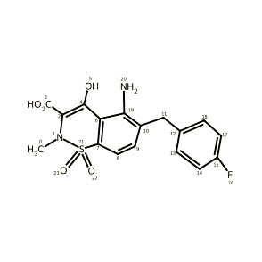 CN1C(C(=O)O)=C(O)c2c(ccc(Cc3ccc(F)cc3)c2N)S1(=O)=O